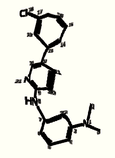 CN(C)c1cccc(Nc2ccc(-c3cccc(Cl)c3)cn2)c1